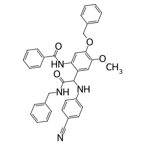 COc1cc(C(Nc2ccc(C#N)cc2)C(=O)NCc2ccccc2)c(NC(=O)c2ccccc2)cc1OCc1ccccc1